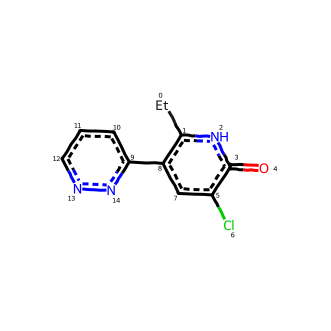 CCc1[nH]c(=O)c(Cl)cc1-c1cccnn1